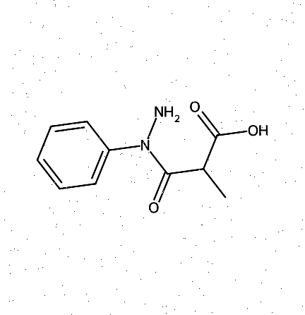 CC(C(=O)O)C(=O)N(N)c1ccccc1